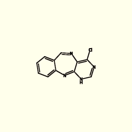 ClC1=C2N=Cc3ccccc3N=C2NC=N1